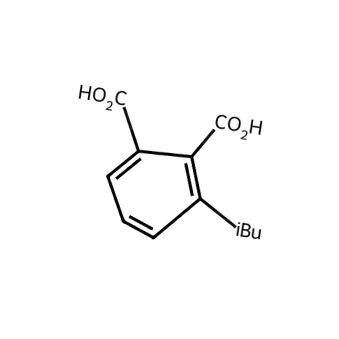 CCC(C)c1cccc(C(=O)O)c1C(=O)O